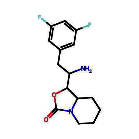 NC(Cc1cc(F)cc(F)c1)C1OC(=O)N2CCCCC12